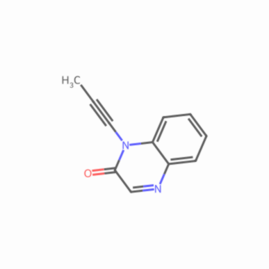 CC#Cn1c(=O)cnc2ccccc21